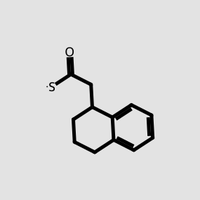 O=C([S])CC1CCCc2ccccc21